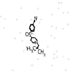 CC(C)CN1CCC([S+]([O-])c2ccc(C#N)cc2)CC1